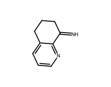 N=C1CCCc2cccnc21